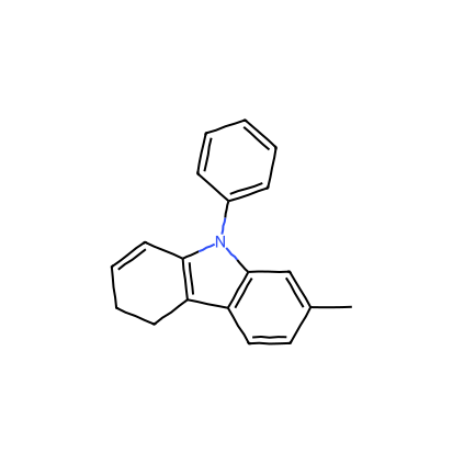 Cc1ccc2c3c(n(-c4ccccc4)c2c1)C=CCC3